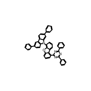 c1ccc(-c2ccc3c(c2)c2ccc(-c4ccccc4)cc2n3-c2cccc3c2oc2cccc(-c4nc(-c5ccccc5)nc(-c5ccccc5)n4)c23)cc1